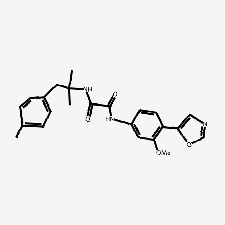 COc1cc(NC(=O)C(=O)NC(C)(C)Cc2ccc(C)cc2)ccc1-c1cnco1